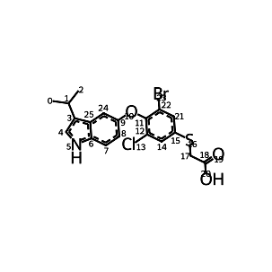 CC(C)c1c[nH]c2ccc(Oc3c(Cl)cc(SCC(=O)O)cc3Br)cc12